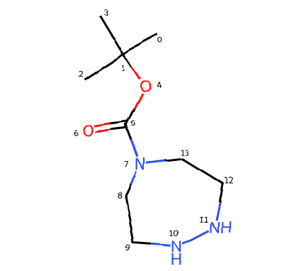 CC(C)(C)OC(=O)N1CCNNCC1